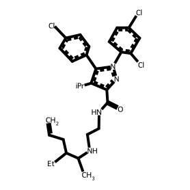 C=CCC(CC)C(C)NCCNC(=O)c1nn(-c2ccc(Cl)cc2Cl)c(-c2ccc(Cl)cc2)c1C(C)C